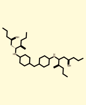 C=C(CCC)C(CC(=N)CCC)NC1CCC(CC2CCC(N[C@H](CC(=N)CCC)C(=C)CCC)CC2)CC1